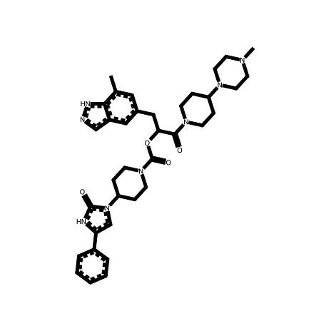 Cc1cc(CC(OC(=O)N2CCC(n3cc(-c4ccccc4)[nH]c3=O)CC2)C(=O)N2CCC(N3CCN(C)CC3)CC2)cc2cn[nH]c12